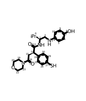 CC(C)[C@@H](CNc1ccc(O)cc1)NC(=O)[C@H](CC(=O)N1CCOCC1)c1ccc(S)cc1